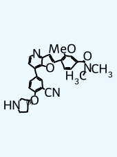 COc1cc(C(=O)N(C)C)ccc1-c1cc2nccc(-c3ccc(O[C@H]4CCNC4)c(C#N)c3)c2o1